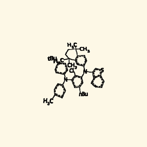 CCCCc1cc(N(c2ccc(C)cc2)c2ccc(C(C)(C)C)cc2)c(Cl)c(N(c2ccc3c(c2)C(C)(C)CCC3(C)C)c2csc3ccccc23)c1